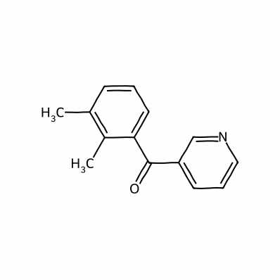 Cc1cccc(C(=O)c2cccnc2)c1C